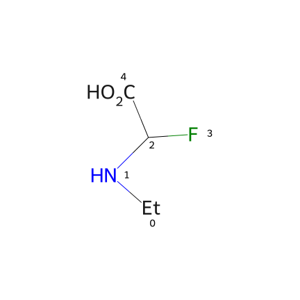 CCNC(F)C(=O)O